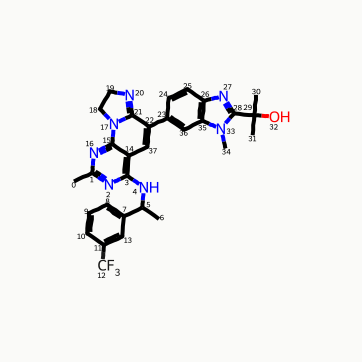 Cc1nc(NC(C)c2cccc(C(F)(F)F)c2)c2c(n1)N1CCN=C1C(c1ccc3nc(C(C)(C)O)n(C)c3c1)=C2